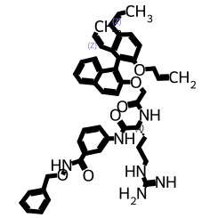 C=CCOc1ccc(/C=C\C)c(/C=C\C)c1-c1c(OCC(=O)N[C@H](CCCNC(=N)N)C(=O)Nc2cccc(C(=O)NOCc3ccccc3)c2)ccc2ccccc12